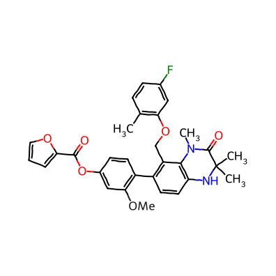 COc1cc(OC(=O)c2ccco2)ccc1-c1ccc2c(c1COc1cc(F)ccc1C)N(C)C(=O)C(C)(C)N2